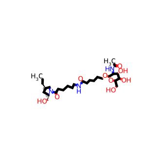 CCC[C@@H]1C[C@@H](CO)N(C(=O)CCCCCNC(=O)CCCCCOC2OC(CO)C(O)C(O)C2NC(C)=O)C1